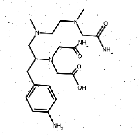 CN(CCN(C)CC(Cc1ccc(N)cc1)N(CC(N)=O)CC(=O)O)CC(N)=O